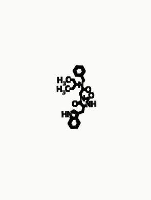 CCC(CC)N(Cc1ccccc1)C(=O)CN1C(=O)NC(Cc2c[nH]c3ccccc23)C1=O